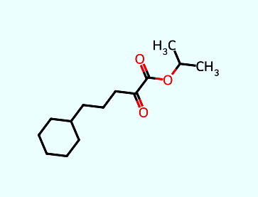 CC(C)OC(=O)C(=O)CCCC1CCCCC1